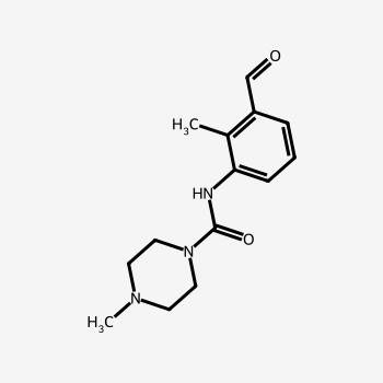 Cc1c(C=O)cccc1NC(=O)N1CCN(C)CC1